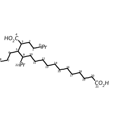 CC(C)CCC(C(=O)O)C(CCC(C)C)C(CCCCCCCCCCCC(=O)O)C(C)C